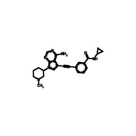 CN1CCCC(n2cc(C#Cc3cccc(C(=O)NC4CC4)c3)c3c(N)ncnc32)C1